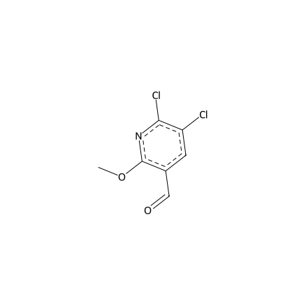 COc1nc(Cl)c(Cl)cc1C=O